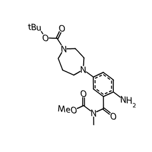 COC(=O)N(C)C(=O)c1cc(N2CCCN(C(=O)OC(C)(C)C)CC2)ccc1N